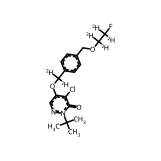 [2H]C([2H])(Oc1cnn(C(C)(C)C)c(=O)c1Cl)c1ccc(COC([2H])([2H])C([2H])([2H])F)cc1